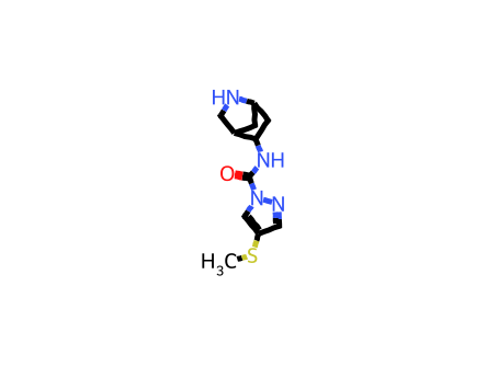 CSc1cnn(C(=O)NC2CC3CC2CN3)c1